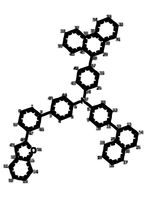 c1cc(-c2ccc(N(c3ccc(-c4cccc5ccccc45)cc3)c3ccc(-c4cc5ccccc5c5ccccc45)cc3)cc2)cc(-c2cc3ccccc3o2)c1